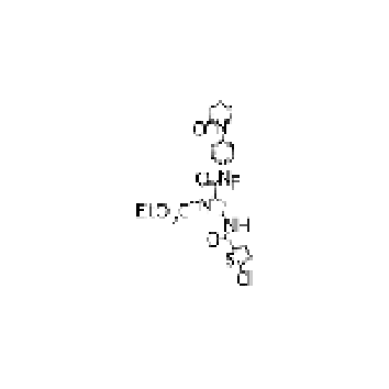 CCOC(=O)CN1CC(NC(=O)c2ccc(Cl)s2)CC1C(=O)N(F)c1ccc(-n2ccccc2=O)cc1